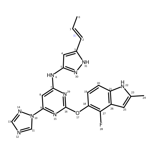 C/C=C/c1cc(Nc2cc(-n3cncn3)nc(Oc3ccc4[nH]c(C)cc4c3F)n2)n[nH]1